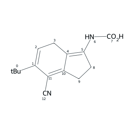 CC(C)(C)C1=CCC2=C(NC(=O)O)CCC2=C1C#N